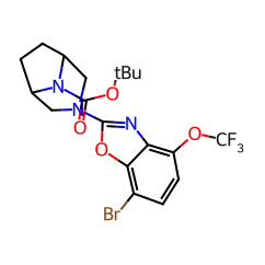 CC(C)(C)OC(=O)N1C2CCC1CN(c1nc3c(OC(F)(F)F)ccc(Br)c3o1)C2